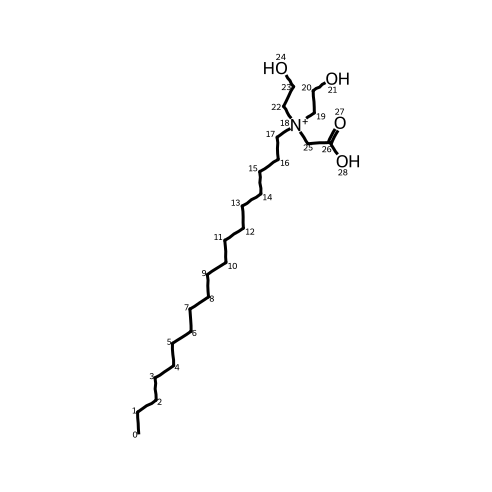 CCCCCCCCCCCCCCCCCC[N+](CCO)(CCO)CC(=O)O